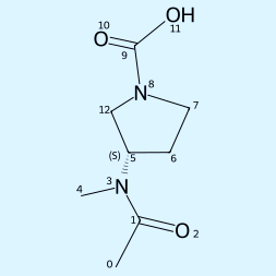 CC(=O)N(C)[C@H]1CCN(C(=O)O)C1